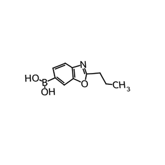 CCCc1nc2ccc(B(O)O)cc2o1